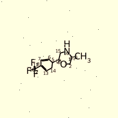 C[C@@H]1CO[C@@H](C2C=CC(C(F)(F)F)=CC2)CN1